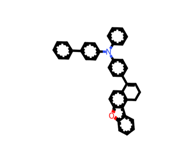 C1=C(c2ccc(N(c3ccccc3)c3ccc(-c4ccccc4)cc3)cc2)c2ccc3oc4ccccc4c3c2CC1